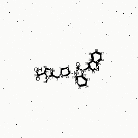 CN1C(CN2CC[C@H](n3c(=O)n(-c4cnc5ccccc5c4)c4cccnc43)C2)=NCC1C(=O)O